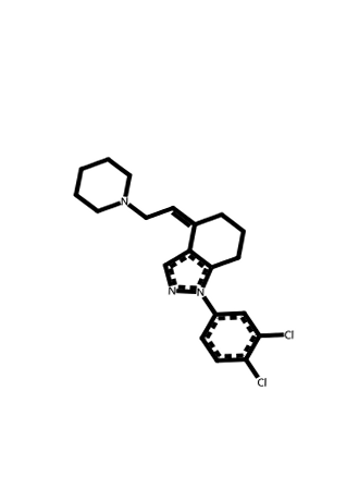 Clc1ccc(-n2ncc3c2CCC/C3=C/CN2CCCCC2)cc1Cl